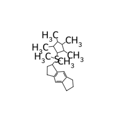 CC1C(C)C(C)C(S(C)(C)C2CCc3cc4c(cc32)CCC4)C1C